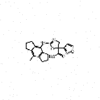 Cc1c2c(c(NC3=NCC(C(=O)O)(c4ccon4)O3)c3c1CCC3)CCC2